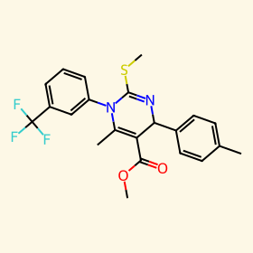 COC(=O)C1=C(C)N(c2cccc(C(F)(F)F)c2)C(SC)=NC1c1ccc(C)cc1